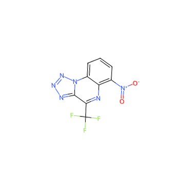 O=[N+]([O-])c1cccc2c1nc(C(F)(F)F)c1nnnn12